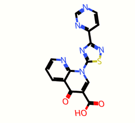 O=C(O)c1cn(-c2nc(-c3ccncn3)ns2)c2ncccc2c1=O